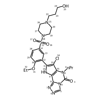 CCCn1c(=O)n2cnnc2c2[nH]c(-c3cc(S(=O)(=O)N4CCN(CCCO)CC4)ccc3OCC)c(Cl)c21